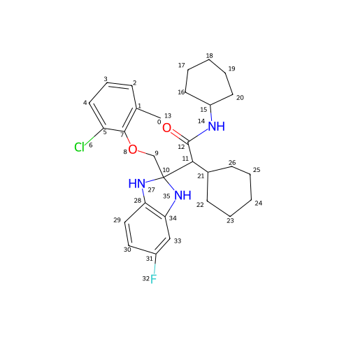 Cc1cccc(Cl)c1OCC1(C(C(=O)NC2CCCCC2)C2CCCCC2)Nc2ccc(F)cc2N1